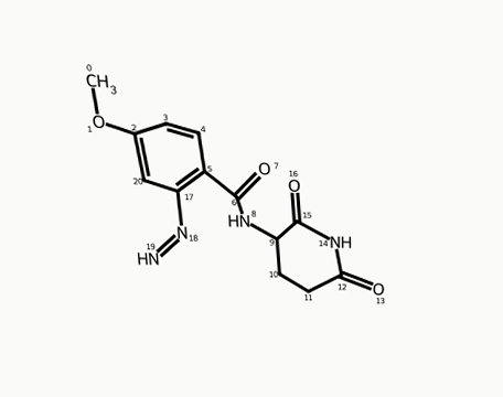 COc1ccc(C(=O)NC2CCC(=O)NC2=O)c(N=N)c1